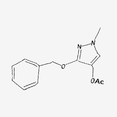 CC(=O)Oc1cn(C)nc1OCc1ccccc1